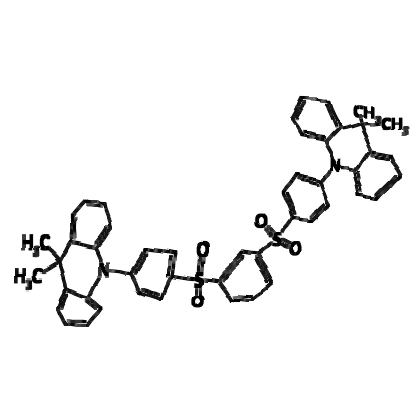 CC1(C)c2ccccc2N(c2ccc(S(=O)(=O)c3cccc(S(=O)(=O)c4ccc(N5c6ccccc6C(C)(C)c6ccccc65)cc4)c3)cc2)c2ccccc21